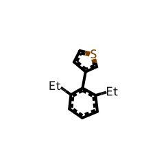 CCc1cccc(CC)c1-c1ccsc1